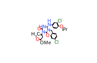 COC(=O)C[C@H](C)N1C(=O)NC(Nc2ccc(OC(C)C)c(Cl)c2)N(Cc2ccc(Cl)cc2)C1=O